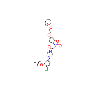 COc1cc(N2CCN(C(=O)Cn3c(=O)oc4cc(OCCOC5CCCCO5)ccc43)CC2)ccc1Cl